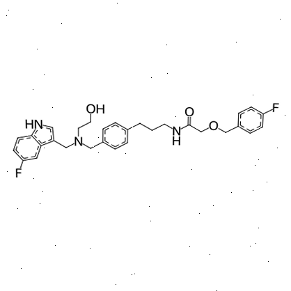 O=C(COCc1ccc(F)cc1)NCCCc1ccc(CN(CCO)Cc2c[nH]c3ccc(F)cc23)cc1